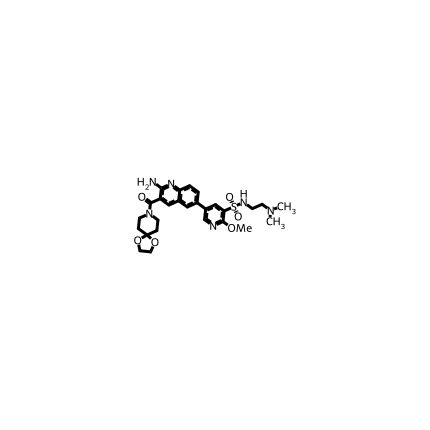 COc1ncc(-c2ccc3nc(N)c(C(=O)N4CCC5(CC4)OCCO5)cc3c2)cc1S(=O)(=O)NCCN(C)C